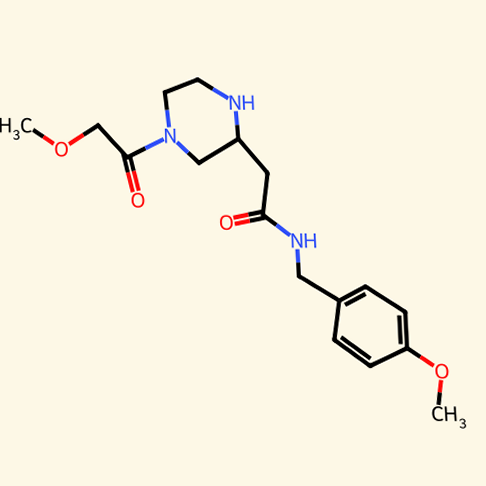 COCC(=O)N1CCNC(CC(=O)NCc2ccc(OC)cc2)C1